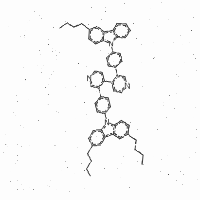 CCCCc1ccc2c(c1)c1ccccc1n2-c1ccc(-c2cnccc2-c2ccncc2-c2ccc(-n3c4ccc(CCCC)cc4c4cc(CCCC)ccc43)cc2)cc1